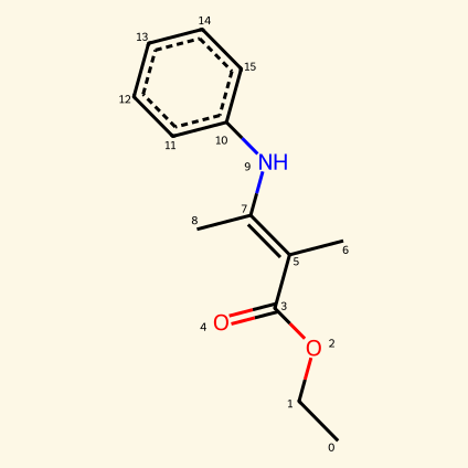 CCOC(=O)/C(C)=C(\C)Nc1ccccc1